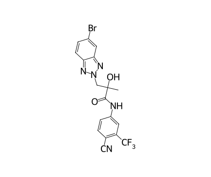 CC(O)(Cn1nc2ccc(Br)cc2n1)C(=O)Nc1ccc(C#N)c(C(F)(F)F)c1